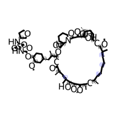 CO[C@H]1C[C@@H]2CC[C@@H](C)[C@@](O)(O2)C(=O)C(=O)N2CCCC[C@H]2C(=O)O[C@H]([C@H](C)C[C@@H]2CC[C@@H](OC(=O)NS(=O)(=O)N[C@H]3CCOC3)[C@H](OC)C2)CC(=O)[C@H](C)/C=C(\C)[C@@H](O)[C@@H](OC)C(=O)[C@H](C)C[C@H](C)/C=C/C=C/C=C/1C